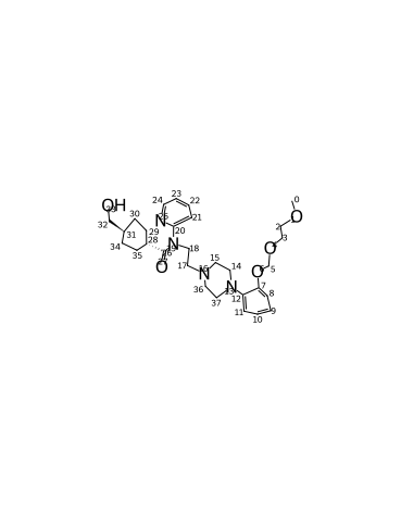 COCCOCOc1ccccc1N1CCN(CCN(c2ccccn2)C(=O)[C@H]2CC[C@H](CO)CC2)CC1